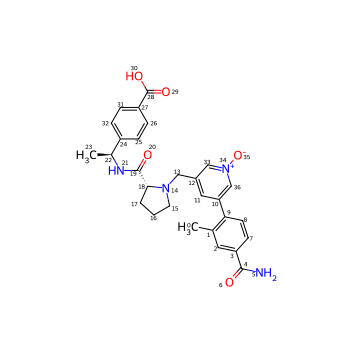 Cc1cc(C(N)=O)ccc1-c1cc(CN2CCC[C@@H]2C(=O)N[C@@H](C)c2ccc(C(=O)O)cc2)c[n+]([O-])c1